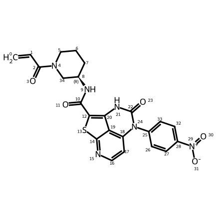 C=CC(=O)N1CCC[C@@H](NC(=O)c2sc3nccc4c3c2NC(=O)N4c2ccc([N+](=O)[O-])cc2)C1